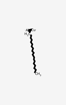 CCCCCCCCCCCCCCCCCCCC.[CH2]1[CH2][Al]1.[Cu]